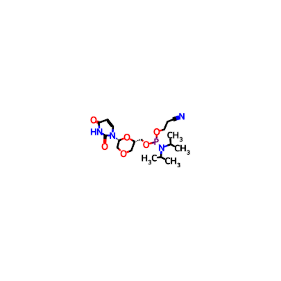 CC(C)N(C(C)C)P(OCCC#N)OC[C@@H]1COC[C@H](n2ccc(=O)[nH]c2=O)O1